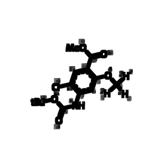 [2H]C([2H])([2H])Oc1cc(NC(=O)OC(C)(C)C)c(Cl)cc1C(=O)OC